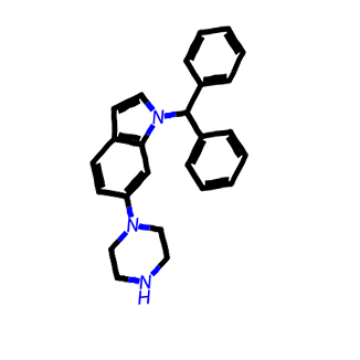 c1ccc(C(c2ccccc2)n2ccc3ccc(N4CCNCC4)cc32)cc1